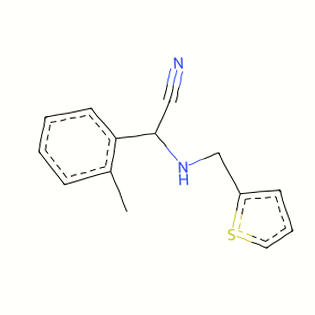 Cc1ccccc1C(C#N)NCc1cccs1